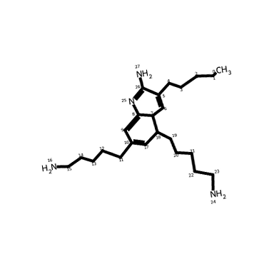 CCCCCC1=CC2C(=CC(CCCCCN)=CC2CCCCCN)N=C1N